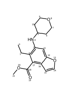 CCc1c(NC2CCOCC2)cc2occc2c1C(=O)OC